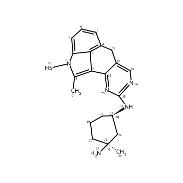 Cc1c2c3c(cccc3n1S)Cc1cnc(N[C@@H]3CCC[C@](C)(N)C3)nc1-2